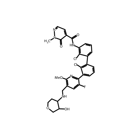 COc1nc(-c2cccc(-c3cccc(NC(=O)c4ccnn(C)c4=O)c3Cl)c2Cl)c(F)cc1CNC1CCOCC1O